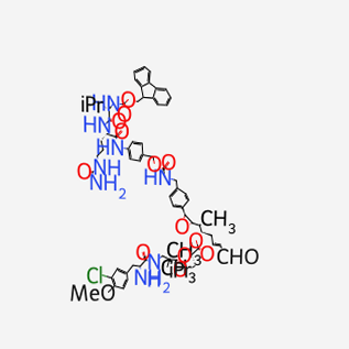 COc1ccc(C[C@@H](N)C(=O)NCC(C)(C)C(=O)O[C@@H](CC(C)C)C(=O)O[C@H](C/C=C/C=O)[C@H](C)[C@@H]2O[C@H]2c2ccc(CNC(=O)OCc3ccc(NC(=O)[C@H](CCCNC(N)=O)NC(=O)[C@@H](NC(=O)OCC4c5ccccc5-c5ccccc54)C(C)C)cc3)cc2)cc1Cl